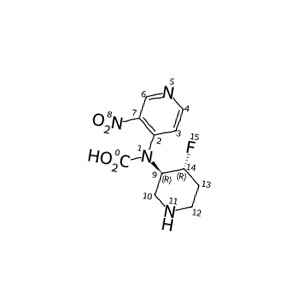 O=C(O)N(c1ccncc1[N+](=O)[O-])[C@@H]1CNCC[C@H]1F